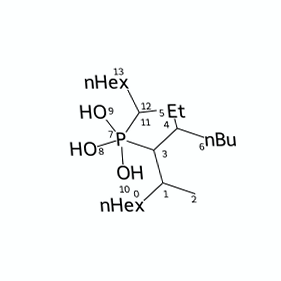 CCCCCCC(C)C(C(CC)CCCC)P(O)(O)(O)C(C)CCCCCC